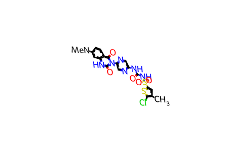 CNc1ccc2c(=O)n(-c3cnc(NC(=O)NS(=O)(=O)c4cc(C)c(Cl)s4)cn3)c(=O)[nH]c2c1